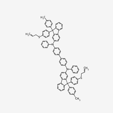 C=CCSc1ccc(C2(c3ccc(C)cc3)c3ccccc3-c3ccc(N(c4ccccc4)c4ccc(-c5ccc(N(c6ccccc6)c6ccc7c(c6)C(c6ccc(C)cc6)(c6ccc(SCC=C)cc6)c6ccccc6-7)cc5)cc4)cc32)cc1